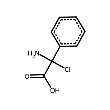 NC(Cl)(C(=O)O)c1ccccc1